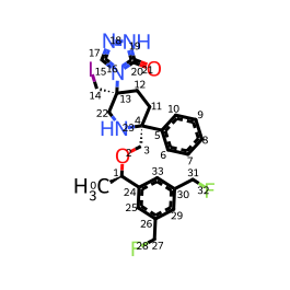 C[C@@H](OC[C@@]1(c2ccccc2)CC[C@](CI)(n2cn[nH]c2=O)CN1)c1cc(CF)cc(CF)c1